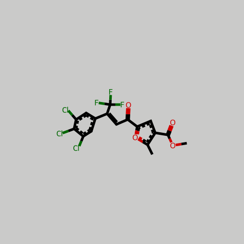 COC(=O)c1cc(C(=O)/C=C(/c2cc(Cl)c(Cl)c(Cl)c2)C(F)(F)F)oc1C